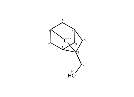 OCC12CC3CC(CC1C3)C2